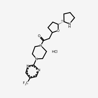 Cl.O=C(CC1CCC([C@@H]2CCCN2)O1)N1CCN(c2ncc(C(F)(F)F)cn2)CC1